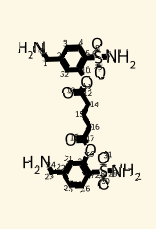 NCc1ccc(S(N)(=O)=O)c(OC(=O)CCCC(=O)Oc2cc(CN)ccc2S(N)(=O)=O)c1